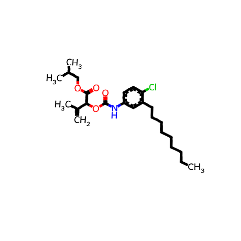 C=C(C)C(OC(=O)Nc1ccc(Cl)c(CCCCCCCCC)c1)C(=O)OCC(C)C